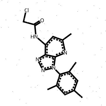 Cc1cc(C)c(-n2nnc3c(NC(=O)CCl)cc(C)nc32)c(C)c1